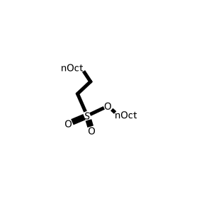 CCCCCCCCCCS(=O)(=O)OCCCCCCCC